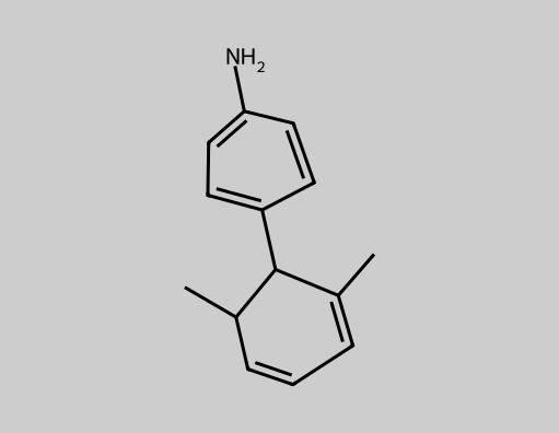 CC1=CC=CC(C)C1c1ccc(N)cc1